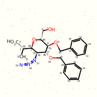 C[C@H](C(=O)O)[C@H]1O[C@H](CO)[C@@H](OCc2ccccc2)[C@H](OCc2ccccc2)[C@H]1N=[N+]=[N-]